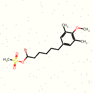 COc1c(C)cc(CCCCCC(Br)OS(C)(=O)=O)cc1C